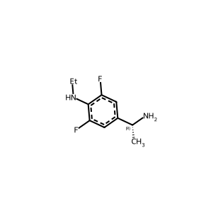 CCNc1c(F)cc([C@@H](C)N)cc1F